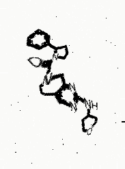 O=C(N1CCc2cnc(NC3CCOCC3)nc2C1)N1CCCC1c1ccccc1